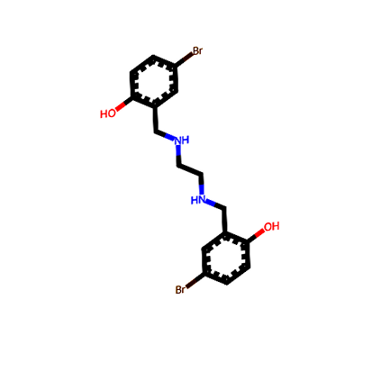 Oc1ccc(Br)cc1CNCCNCc1cc(Br)ccc1O